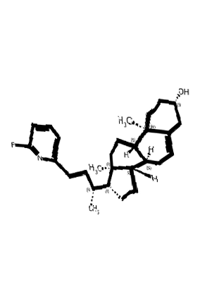 C[C@H](CCc1cccc(F)n1)[C@H]1CC[C@H]2[C@@H]3CC=C4C[C@@H](O)CC[C@]4(C)[C@H]3CC[C@]12C